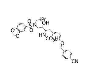 CC(C)CN(C[C@H](O)C(Cc1ccc(OCc2ccc(C#N)cc2)cc1)NC(=O)O)S(=O)(=O)c1ccc2c(c1)OCO2